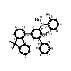 CC1(C)c2ccccc2-c2c(-c3cc(-c4ccccc4)c(F)c(N(c4ccccc4F)C(C)(C)C)c3)cccc21